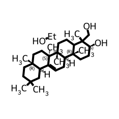 CC1(C)CC[C@]2(C)CC[C@]3(C)C(=CC[C@@H]4[C@@]5(C)CC[C@H](O)C(C)(CO)C5CC[C@]43C)[C@H]2C1.CCO